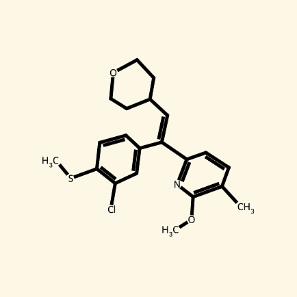 COc1nc(/C(=C/C2CCOCC2)c2ccc(SC)c(Cl)c2)ccc1C